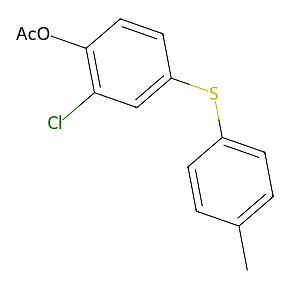 CC(=O)Oc1ccc(Sc2ccc(C)cc2)cc1Cl